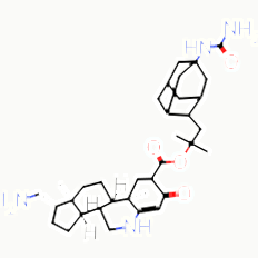 CC(C)(CC1C2CC3CC1CC(NC(N)=O)(C3)C2)OC(=O)C1C[C@@]2(C)C(=CC1=O)NC[C@H]1[C@@H]3CC[C@H](CN)[C@@]3(C)CC[C@@H]12